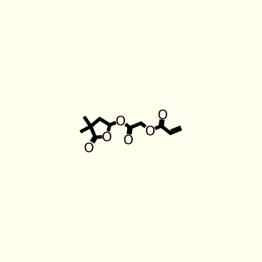 C=CC(=O)OCC(=O)OC1CC(C)(C)C(=O)O1